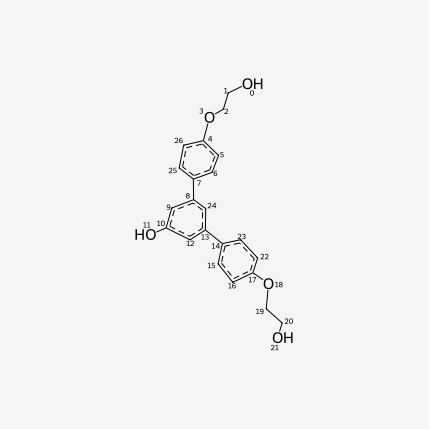 OCCOc1ccc(-c2cc(O)cc(-c3ccc(OCCO)cc3)c2)cc1